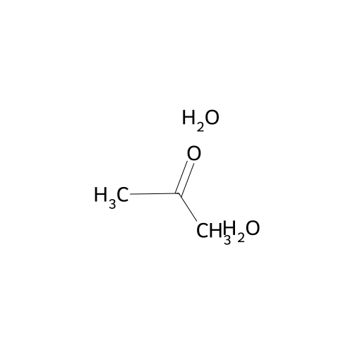 CC(C)=O.O.O